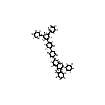 c1ccc(-c2nc3cc(-c4ccc(-c5ccc(-c6cc(-c7ccccn7)nc(-c7ccccn7)c6)cc5)cc4)ccc3c3sc4ccccc4c23)cc1